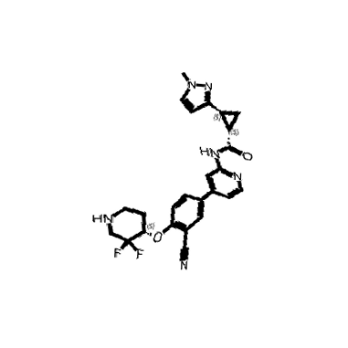 Cn1ccc([C@H]2C[C@@H]2C(=O)Nc2cc(-c3ccc(O[C@H]4CCNCC4(F)F)c(C#N)c3)ccn2)n1